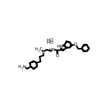 CN(CCCc1ccc(CN)cc1)CCNC(=O)c1cc2cc(OCc3ccccc3)ccc2[nH]1.Cl.Cl